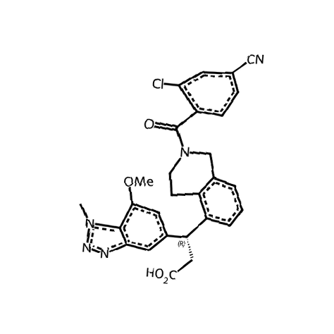 COc1cc([C@@H](CC(=O)O)c2cccc3c2CCN(C(=O)c2ccc(C#N)cc2Cl)C3)cc2nnn(C)c12